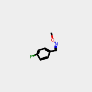 CO/N=C\c1ccc(F)cc1